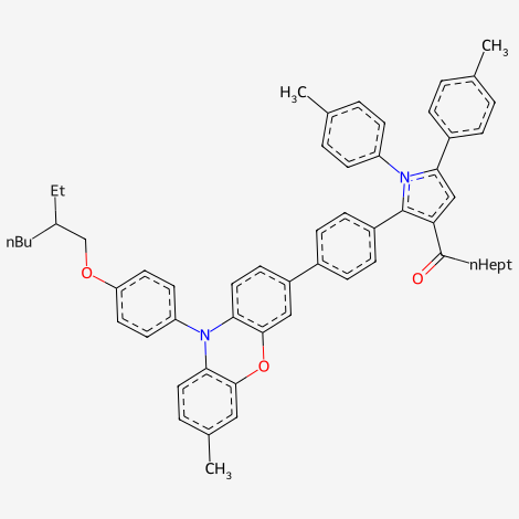 CCCCCCCC(=O)c1cc(-c2ccc(C)cc2)n(-c2ccc(C)cc2)c1-c1ccc(-c2ccc3c(c2)Oc2cc(C)ccc2N3c2ccc(OCC(CC)CCCC)cc2)cc1